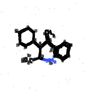 C=C(c1ccccc1)C(C1CCCCC1)[C@@H](N)C(=O)O